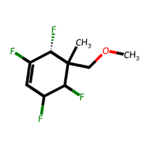 COCC1(C)C(F)C(F)C=C(F)[C@@H]1F